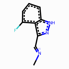 C/N=C/c1n[nH]c2cccc(F)c12